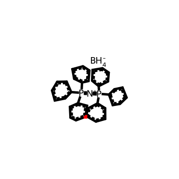 [BH4-].c1ccc(P(=[N+]=P(c2ccccc2)(c2ccccc2)c2ccccc2)(c2ccccc2)c2ccccc2)cc1